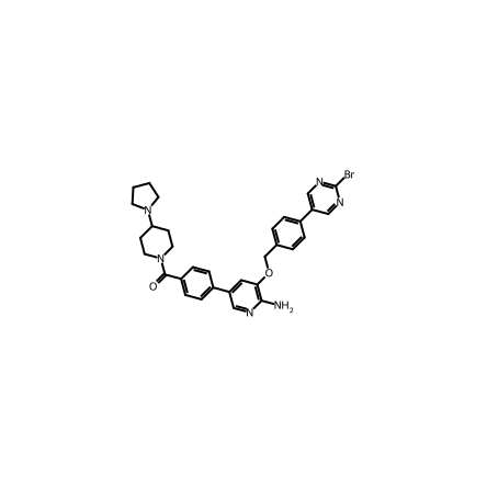 Nc1ncc(-c2ccc(C(=O)N3CCC(N4CCCC4)CC3)cc2)cc1OCc1ccc(-c2cnc(Br)nc2)cc1